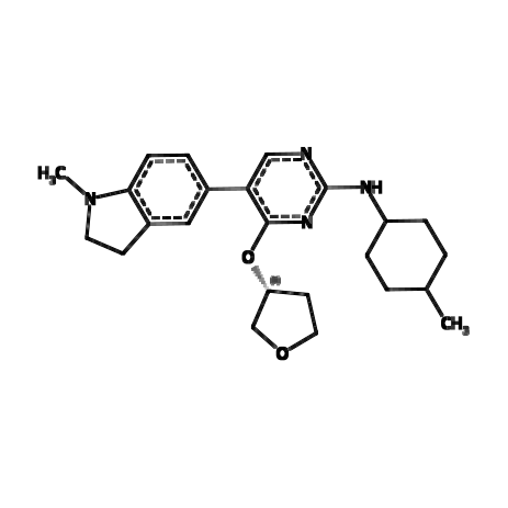 CC1CCC(Nc2ncc(-c3ccc4c(c3)CCN4C)c(O[C@@H]3CCOC3)n2)CC1